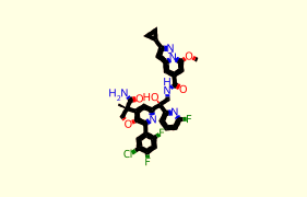 COc1cc(C(=O)NC[C@@](O)(c2cccc(F)n2)c2cc3c(c(-c4cc(Cl)c(F)cc4F)n2)OC[C@]3(C)C(N)=O)cc2cc(C3CC3)nn12